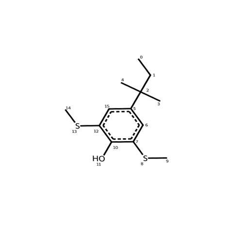 CCC(C)(C)c1cc(SC)c(O)c(SC)c1